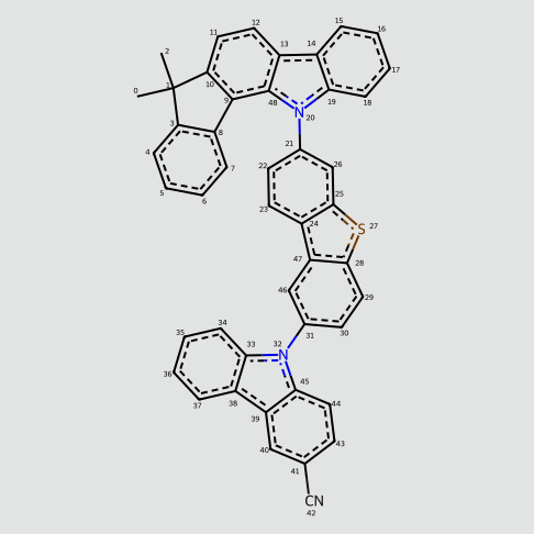 CC1(C)c2ccccc2-c2c1ccc1c3ccccc3n(-c3ccc4c(c3)sc3ccc(-n5c6ccccc6c6cc(C#N)ccc65)cc34)c21